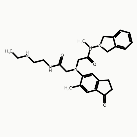 CCNCCNC(=O)CN(CC(=O)N(C)N1Cc2ccccc2C1)c1cc2c(cc1C)C(=O)CC2